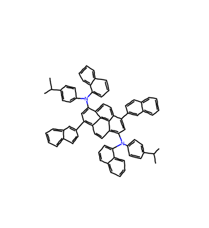 CC(C)c1ccc(N(c2cccc3ccccc23)c2cc(-c3ccc4ccccc4c3)c3ccc4c(N(c5ccc(C(C)C)cc5)c5cccc6ccccc56)cc(-c5ccc6ccccc6c5)c5ccc2c3c54)cc1